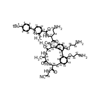 Cc1nc(-c2ccc(C(C)(C)C)cc2)ccc1C(=O)NC(CCN)C(=O)N(C)C1C(=O)NC(C)C(=O)NC(C(=O)NCC#N)Cc2ccc(OCCN)c(c2)-c2cc1ccc2OCCN